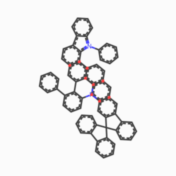 c1ccc(-c2ccccc2-c2c(-c3ccccc3)cccc2N(c2cccc(-c3cccc4c5ccccc5n(-c5ccccc5)c34)c2)c2ccc3c(c2)C2(c4ccccc4-c4ccccc42)c2ccccc2-3)cc1